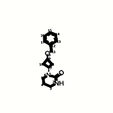 O=C1NCCCN1[C@H]1C[C@H](OCc2ccccc2)C1